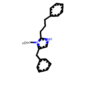 CCCCCCCCCC[n+]1c(Cc2ccccc2)c[nH]c1CCCc1ccccc1